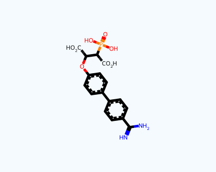 N=C(N)c1ccc(-c2ccc(OC(C(=O)O)C(C(=O)O)P(=O)(O)O)cc2)cc1